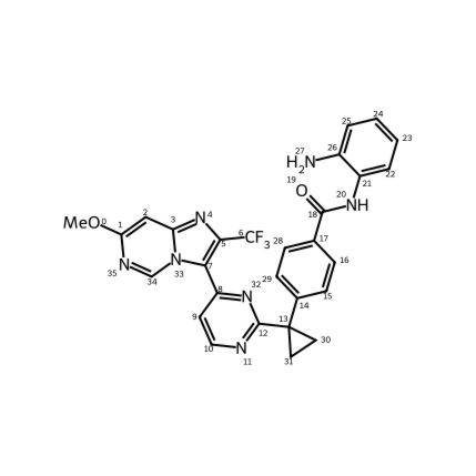 COc1cc2nc(C(F)(F)F)c(-c3ccnc(C4(c5ccc(C(=O)Nc6ccccc6N)cc5)CC4)n3)n2cn1